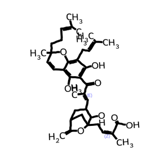 C=C1OC2(C/C=C(/C)C(=O)O)CC1CC(/C=C(\C)C(=O)c1c(O)c3c(c(CC=C(C)C)c1O)OC(C)(CCC=C(C)C)C=C3)C2O